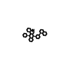 c1ccc(-c2c3ccccc3c(-c3cccc(-c4cccc5ccccc45)c3)c3cnc4ccccc4c23)cc1